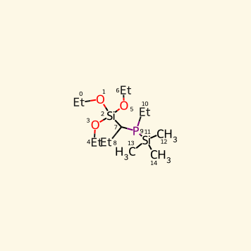 CCO[Si](OCC)(OCC)C(CC)P(CC)[Si](C)(C)C